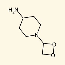 NC1CCN(C2COO2)CC1